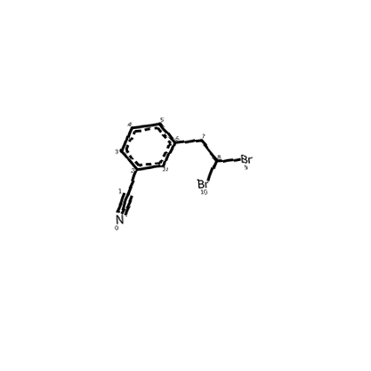 N#Cc1cccc(CC(Br)Br)c1